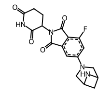 O=C1CCC(N2C(=O)c3cc(N4CC5CC(C4)N5)cc(F)c3C2=O)C(=O)N1